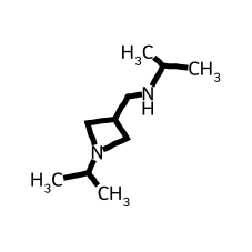 CC(C)NCC1CN(C(C)C)C1